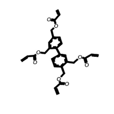 C=CC(=O)OCc1ccc(-c2ccc(COC(=O)C=C)c(COC(=O)C=C)c2)c(COC(=O)C=C)c1